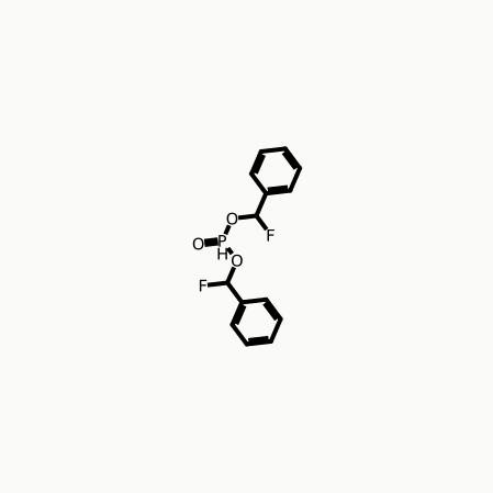 O=[PH](OC(F)c1ccccc1)OC(F)c1ccccc1